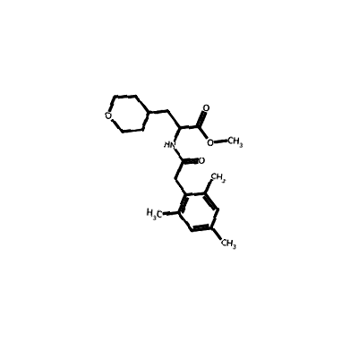 COC(=O)C(CC1CCOCC1)NC(=O)Cc1c(C)cc(C)cc1C